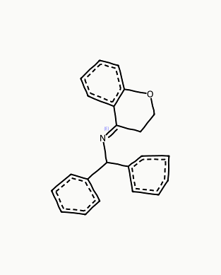 c1ccc(C(/N=C2\CCOc3ccccc32)c2ccccc2)cc1